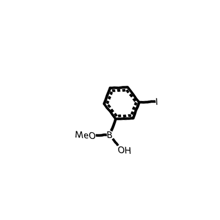 COB(O)c1cccc(I)c1